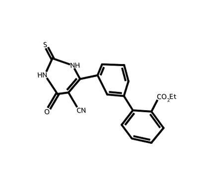 CCOC(=O)c1ccccc1-c1cccc(-c2[nH]c(=S)[nH]c(=O)c2C#N)c1